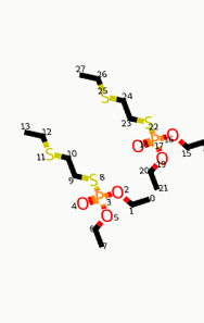 CCOP(=O)(OCC)SCCSCC.CCOP(=O)(OCC)SCCSCC